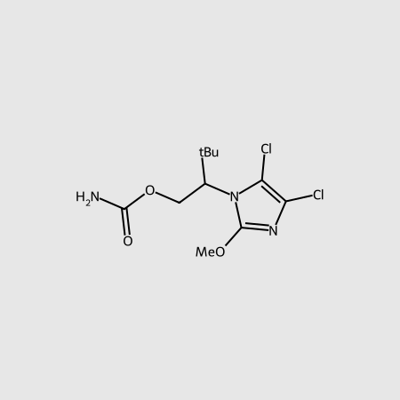 COc1nc(Cl)c(Cl)n1C(COC(N)=O)C(C)(C)C